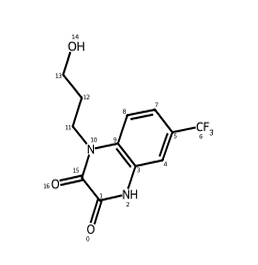 O=c1[nH]c2cc(C(F)(F)F)ccc2n(CCCO)c1=O